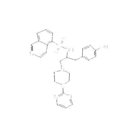 O=S(=O)(NC(Cc1ccc(O)cc1)CN1CCN(c2ncccn2)CC1)c1cccc2cnccc12